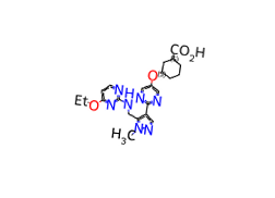 CCOc1ccnc(NCc2c(-c3ncc(O[C@H]4CCC[C@H](C(=O)O)C4)cn3)cnn2C)n1